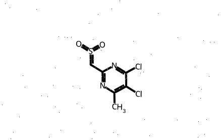 Cc1nc(C=S(=O)=O)nc(Cl)c1Cl